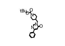 CC(C)(C)OC(=O)N1CCC(Cn2cnc(-c3ccccc3)cc2=O)CC1